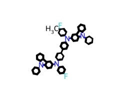 CC1(F)C=CC(N(c2ccc(C3C=CC(N(c4ccc(F)cc4)c4ccc5c(c4)c4ccccc4n5-c4ccccc4)=CC3)cc2)c2ccc3c(c2)c2ccccc2n3C2=CC=CCC2)=CC1